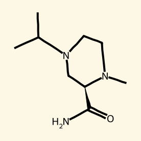 CC(C)N1CCN(C)[C@@H](C(N)=O)C1